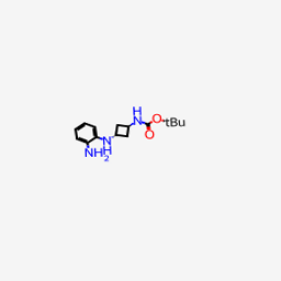 CC(C)(C)OC(=O)N[C@H]1C[C@H](Nc2ccccc2N)C1